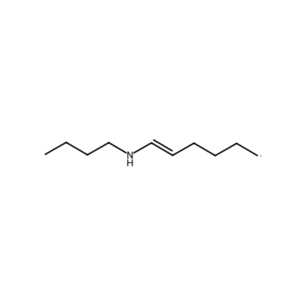 [CH2]CCC/C=C/NCCCC